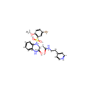 COc1ccc(Br)cc1S(=O)(=O)N1c2ccccc2NC(=O)[C@H]1CC(=O)NCCc1ccncc1